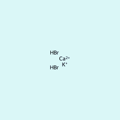 Br.Br.[Ca+2].[K+]